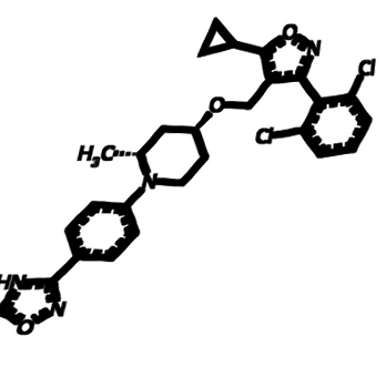 C[C@@H]1C[C@@H](OCc2c(-c3c(Cl)cccc3Cl)noc2C2CC2)CCN1c1ccc(-c2noc(=O)[nH]2)cc1